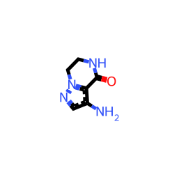 Nc1cnn2c1C(=O)NCC2